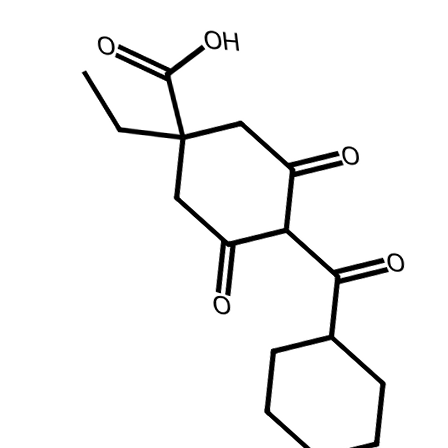 CCC1(C(=O)O)CC(=O)C(C(=O)C2CCCCC2)C(=O)C1